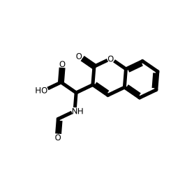 O=CNC(C(=O)O)c1cc2ccccc2oc1=O